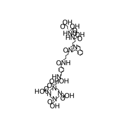 O=C(O)CC[C@@H](NC(=O)N[C@H](CCCCN(Cc1nccc2ccccc12)C(=O)CCCCNC(=O)c1ccc(CNC(O)CCC(C(=O)O)N2CCN(CC(=O)O)CCN(CC(=O)O)CCN(CC(=O)O)CC2)cc1)C(=O)O)C(=O)O